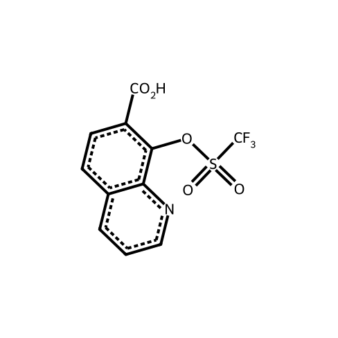 O=C(O)c1ccc2cccnc2c1OS(=O)(=O)C(F)(F)F